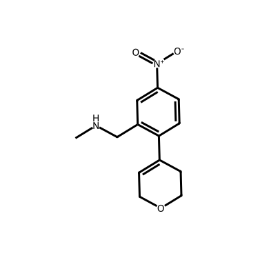 CNCc1cc([N+](=O)[O-])ccc1C1=CCOCC1